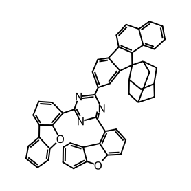 c1ccc2c3c(ccc2c1)-c1ccc(-c2nc(-c4cccc5c4oc4ccccc45)nc(-c4cccc5oc6ccccc6c45)n2)cc1C31C2CC3CC(C2)CC1C3